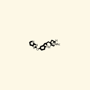 CC(=O)N1C[C@@H]2CC[C@@H]1CN2Cc1cc2cc(Oc3nc4ncccc4s3)ccc2o1